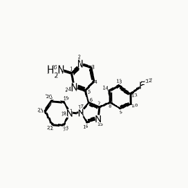 Nc1nccc(-c2c(-c3ccc(F)cc3)ncn2N2CCCCC2)n1